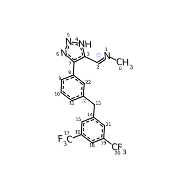 C/N=C/c1[nH]nnc1-c1cccc(Cc2cc(C(F)(F)F)cc(C(F)(F)F)c2)c1